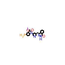 CC1(OI)C(=O)N(c2cncc(Cc3n[nH]c(=O)c4ccccc34)c2)c2ccc(P)cc21